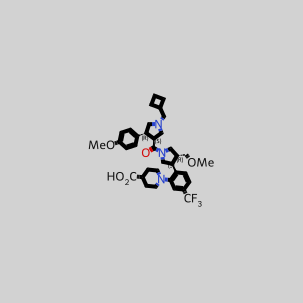 COC[C@H]1CN(C(=O)[C@@H]2CN(CC3CCC3)C[C@H]2c2ccc(OC)cc2)C[C@@H]1c1ccc(C(F)(F)F)cc1N1CCC(C(=O)O)CC1